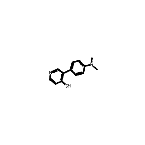 CN(C)c1ccc(-c2cnccc2S)cc1